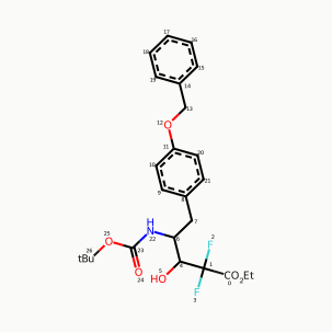 CCOC(=O)C(F)(F)C(O)C(Cc1ccc(OCc2ccccc2)cc1)NC(=O)OC(C)(C)C